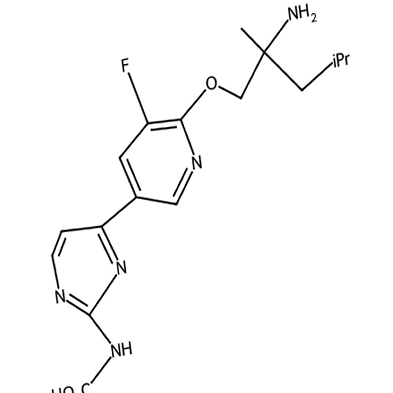 CC(C)CC(C)(N)COc1ncc(-c2ccnc(NC(=O)O)n2)cc1F